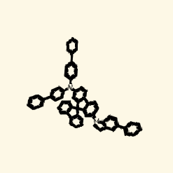 c1ccc(-c2ccc(N(c3ccc(-c4ccccc4)cc3)c3ccc4c(c3)C3(c5ccccc5-c5ccccc53)c3cc(-n5ccc6cc(-c7ccccc7)ccc65)ccc3-4)cc2)cc1